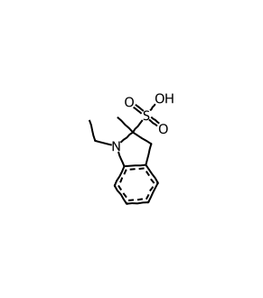 CCN1c2ccccc2CC1(C)S(=O)(=O)O